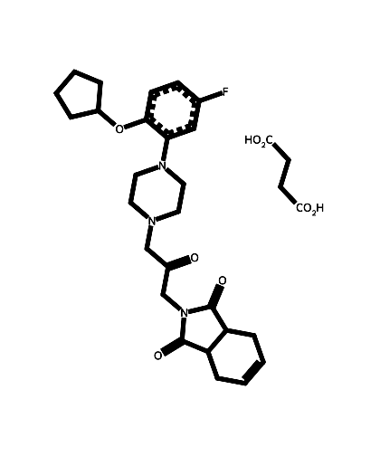 O=C(CN1CCN(c2cc(F)ccc2OC2CCCC2)CC1)CN1C(=O)C2CC=CCC2C1=O.O=C(O)CCC(=O)O